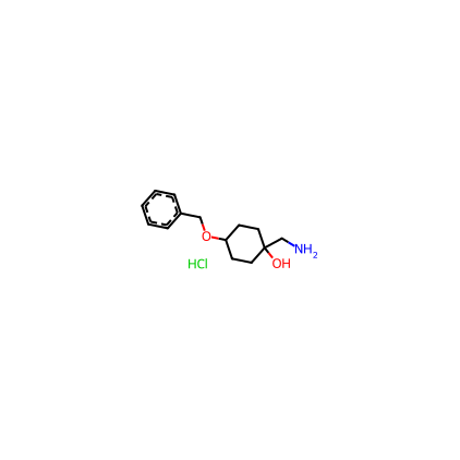 Cl.NCC1(O)CCC(OCc2ccccc2)CC1